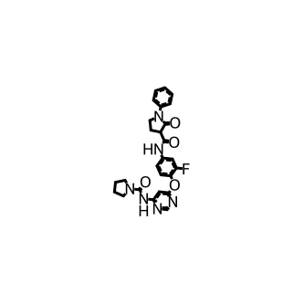 O=C(Nc1ccc(Oc2cc(NC(=O)N3CCCC3)ncn2)c(F)c1)C1CCN(c2ccccc2)C1=O